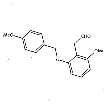 COc1ccc(COc2cccc(OC)c2CC=O)cc1